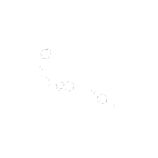 O=C(c1nc2ccc(OC3CCN(c4ccc(C(F)(F)F)cc4)CC3)cc2o1)N1CC2CC1CN2Cc1ccncc1